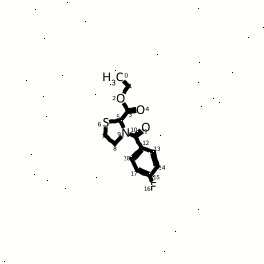 CCOC(=O)C1SCCN1C(=O)c1ccc(F)cc1